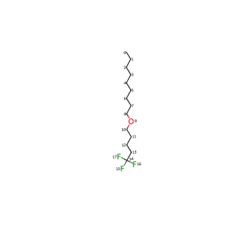 CCCCCCCCCOCCCCC(F)(F)F